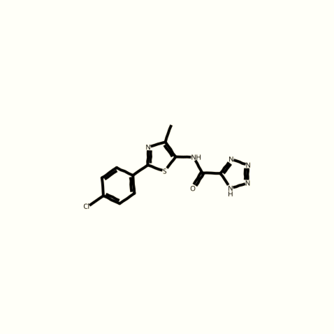 Cc1nc(-c2ccc(Cl)cc2)sc1NC(=O)c1nnn[nH]1